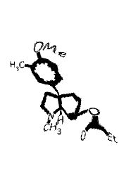 CCC(=O)OC1=C[C@@H]2N(C)CC[C@]2(c2ccc(OC)c(C)c2)CC1